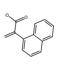 C=C(C([O])=O)c1cccc2ccccc12